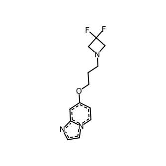 FC1(F)CN(CCCOc2ccn3ccnc3c2)C1